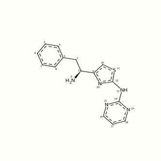 N[C@@H](Cc1ccccc1)c1csc(Nc2ncccn2)n1